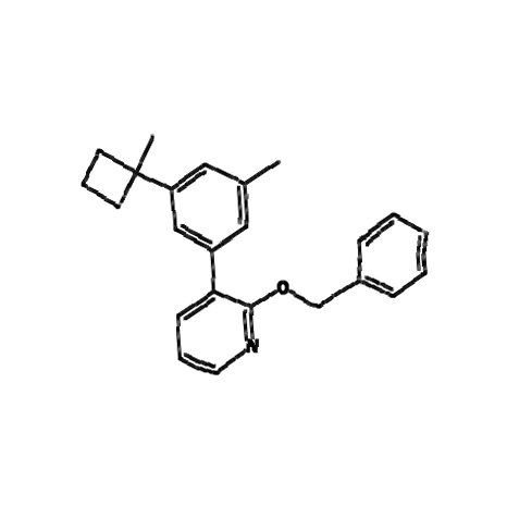 Cc1cc(-c2cccnc2OCc2ccccc2)cc(C2(C)CCC2)c1